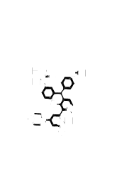 COc1ccc(C2c3cc(NC(=O)O)ccc3Oc3c2ccnc3-c2cc(N3CCOCC3)cc(=O)[nH]2)cc1